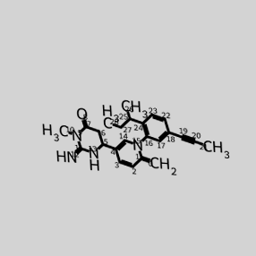 C=C1C=CC(C2CC(=O)N(C)C(=N)N2)=CN1c1cc(C#CC)ccc1C(C)CC